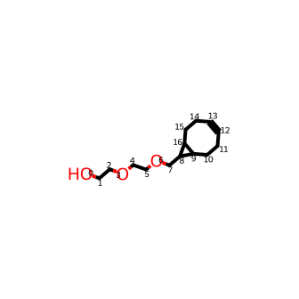 OCCOCCOCC1C2CCC#CCCC21